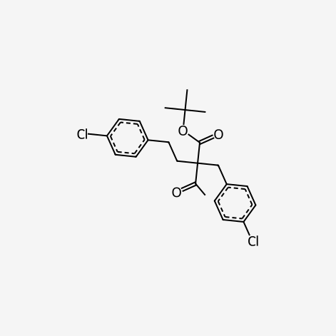 CC(=O)C(CCc1ccc(Cl)cc1)(Cc1ccc(Cl)cc1)C(=O)OC(C)(C)C